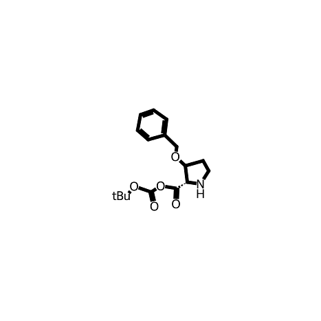 CC(C)(C)OC(=O)OC(=O)[C@H]1NCCC1OCc1ccccc1